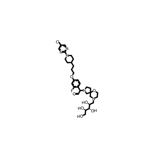 O=CC(c1ccc(OCCCC2CCN(c3ncc(Cl)cn3)CC2)cc1F)N1CCC2(CN(C[C@H](O)[C@H](O)[C@H](O)CO)CCO2)C1